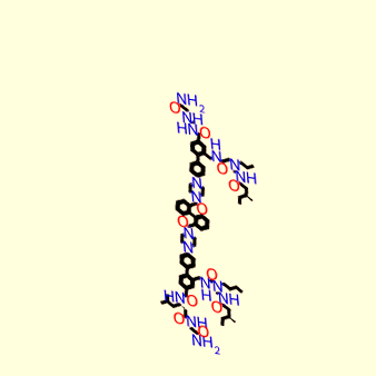 CCCCN(CNC(=O)C[C@@H](C)CC)C(=O)NCc1cc(C(=O)N[C@H](CC(=O)NCC(N)=O)CC(C)C)ccc1-c1ccc(N2CCN(C(=O)c3ccccc3-c3ccccc3C(=O)N3CCN(c4ccc(-c5ccc(C(=O)NCNCC(N)=O)cc5CNC(=O)CN(CCC)CNC(=O)C[C@@H](C)CC)cc4)CC3)CC2)cc1